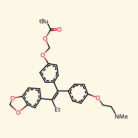 CCC(=C(c1ccc(OCCNC)cc1)c1ccc(OCOC(=O)C(C)(C)C)cc1)c1ccc2c(c1)OCO2